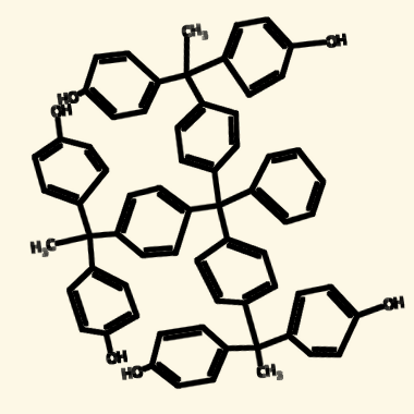 CC(c1ccc(O)cc1)(c1ccc(O)cc1)c1ccc(C(c2ccccc2)(c2ccc(C(C)(c3ccc(O)cc3)c3ccc(O)cc3)cc2)c2ccc(C(C)(c3ccc(O)cc3)c3ccc(O)cc3)cc2)cc1